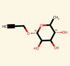 C#CCO[C@@H]1OC(C)[C@H](O)C(O)C1O